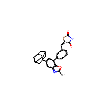 Cc1nc2cc(C34CC5CC(CC(C5)C3)C4)cc(-c3cccc(C=C4SC(=O)NC4=O)c3)c2o1